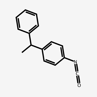 CC(c1ccccc1)c1ccc(N=C=O)cc1